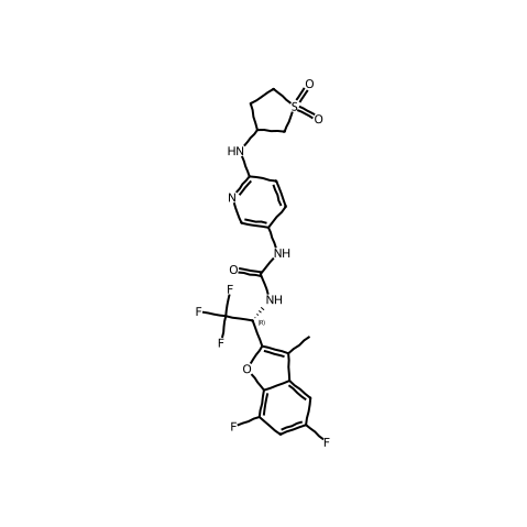 Cc1c([C@@H](NC(=O)Nc2ccc(NC3CCS(=O)(=O)C3)nc2)C(F)(F)F)oc2c(F)cc(F)cc12